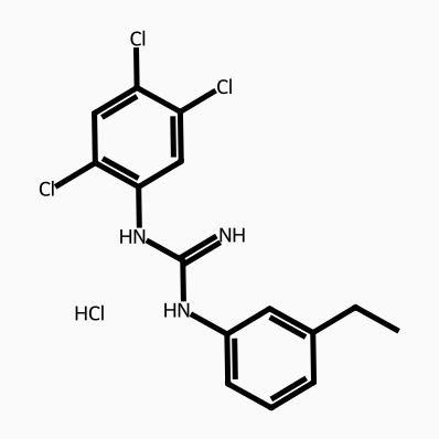 CCc1cccc(NC(=N)Nc2cc(Cl)c(Cl)cc2Cl)c1.Cl